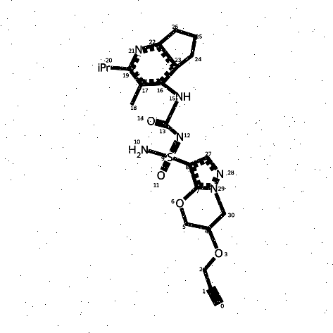 C#CCOC1COc2c(S(N)(=O)=NC(=O)Nc3c(C)c(C(C)C)nc4c3CCC4)cnn2C1